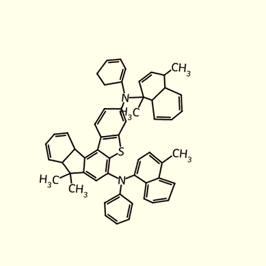 Cc1ccc(N(c2ccccc2)c2cc3c(c4c2sc2cc(N(C5=CC=CCC5)C5(C)C=CC(C)C6C=CC=CC65)ccc24)C2C=CC=CC2C3(C)C)c2ccccc12